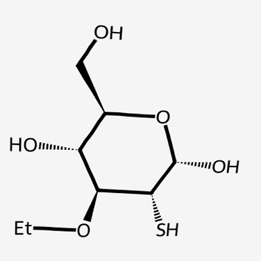 CCO[C@H]1[C@H](O)[C@@H](CO)O[C@H](O)[C@@H]1S